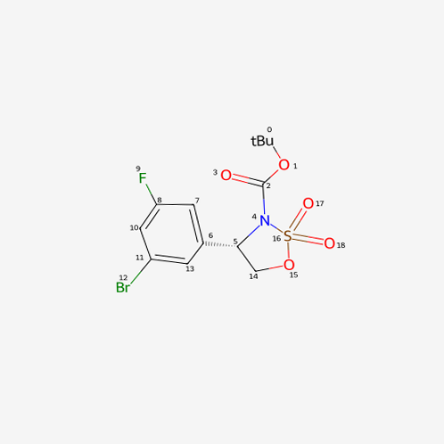 CC(C)(C)OC(=O)N1[C@@H](c2cc(F)cc(Br)c2)COS1(=O)=O